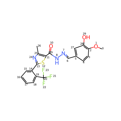 COc1ccc(/C=N/NC(=O)c2sc(-c3ccccc3C(F)(F)F)nc2C)cc1O